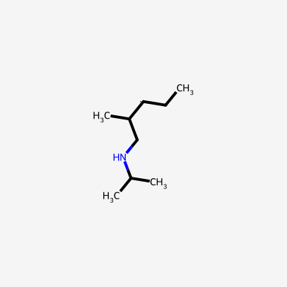 CC[CH]C(C)CNC(C)C